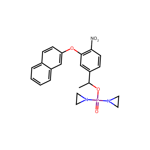 CC(OP(=O)(N1CC1)N1CC1)c1ccc([N+](=O)[O-])c(Oc2ccc3ccccc3c2)c1